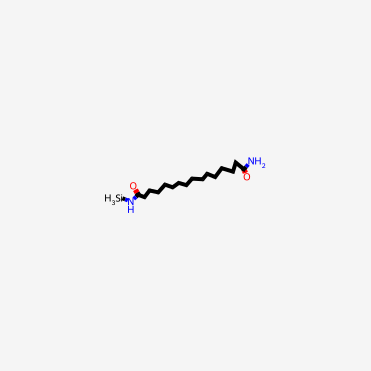 NC(=O)CCCCCCCCCCCCCCC(=O)N[SiH3]